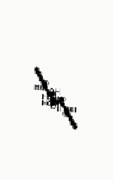 CCCCCCC/C=C/C(=O)N(O)CCCC[C@H](NC(=O)CC(O)(CC(=O)N[C@@H](CCCCN(O)C(=O)/C=C/CCCCCCC)C(=O)O)C(=O)O)C(=O)O